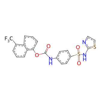 O=C(Nc1ccc(S(=O)(=O)Nc2nccs2)cc1)Oc1cccc2c(C(F)(F)F)cccc12